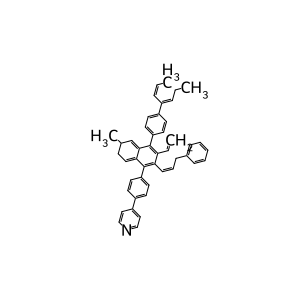 C=Cc1c(/C=C\Cc2ccccc2)c(-c2ccc(-c3ccncc3)cc2)c2c(c1-c1ccc(C(/C=C\C)=C/CC)cc1)=CC(C)CC=2